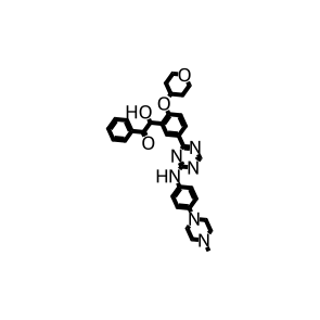 CN1CCN(c2ccc(Nc3ncnc(-c4ccc(OC5CCOCC5)c(C(O)C(=O)c5ccccc5)c4)n3)cc2)CC1